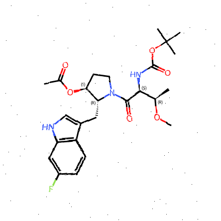 CO[C@H](C)[C@H](NC(=O)OC(C)(C)C)C(=O)N1CC[C@H](OC(C)=O)[C@H]1Cc1c[nH]c2cc(F)ccc12